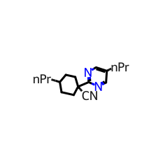 CCCc1cnc(C2(C#N)CCC(CCC)CC2)nc1